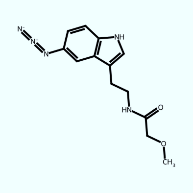 COCC(=O)NCCc1c[nH]c2ccc(N=[N+]=[N-])cc12